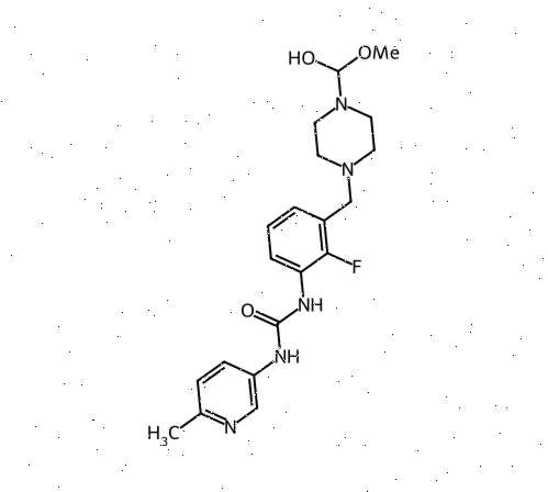 COC(O)N1CCN(Cc2cccc(NC(=O)Nc3ccc(C)nc3)c2F)CC1